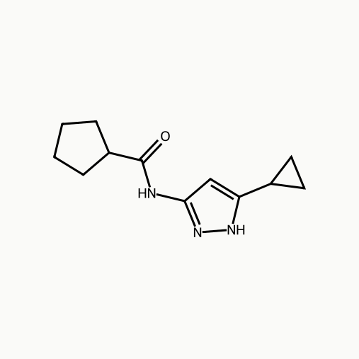 O=C(Nc1cc(C2CC2)[nH]n1)C1CCCC1